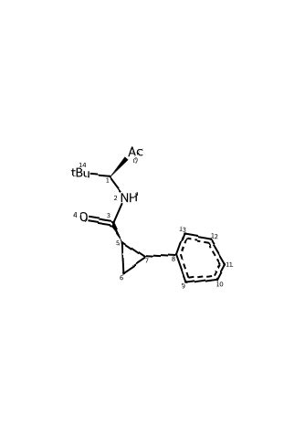 CC(=O)[C@@H](NC(=O)[C@@H]1CC1c1ccccc1)C(C)(C)C